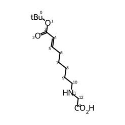 CC(C)(C)OC(=O)C=CCCCCCNCC(=O)O